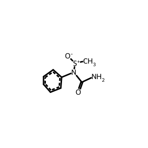 C[S+]([O-])N(C(N)=O)c1ccccc1